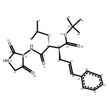 CC(C)C[C@@H](C(=O)NN1C(=O)CNC1=O)[C@H](C/C=C/c1ccccc1)C(=O)OC(C)(C)C